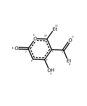 CCC(=O)c1c(O)cc(=O)oc1CC